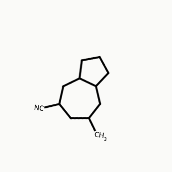 CC1CC(C#N)CC2CCCC2C1